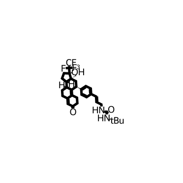 CC(C)(C)NC(=O)NCC=Cc1ccc([C@H]2C[C@@]3(C)[C@@H](CC[C@@]3(O)C(F)(F)C(F)(F)F)[C@@H]3CCC4=CC(=O)CCC4=C32)cc1